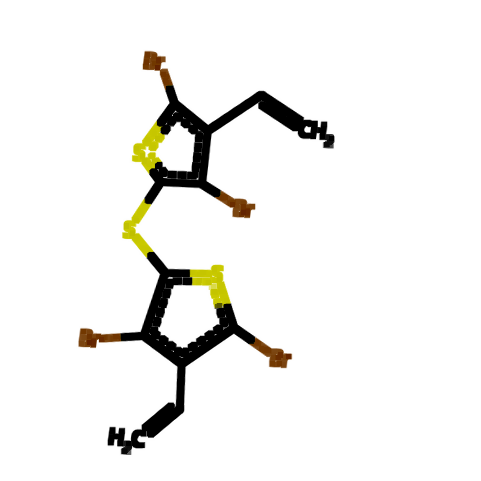 C=Cc1c(Br)sc(Sc2sc(Br)c(C=C)c2Br)c1Br